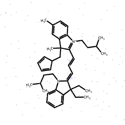 CCC1(CC)/C(=C/C=C/C2=[N+](CCC(C)C)c3ccc(C)cc3C2(C)CC2C=CC=C2)N(CCC(C)C)c2ccccc21